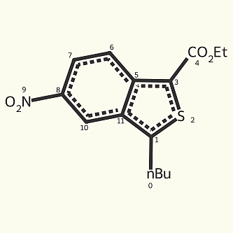 CCCCc1sc(C(=O)OCC)c2ccc([N+](=O)[O-])cc12